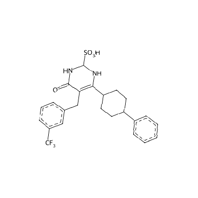 O=C1NC(S(=O)(=O)O)NC(C2CCC(c3ccccc3)CC2)=C1Cc1cccc(C(F)(F)F)c1